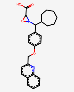 O=C(O)C1ON1C(c1ccc(OCc2ccc3ccccc3n2)cc1)C1CCCCCC1